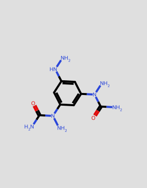 NNc1cc(N(N)C(N)=O)cc(N(N)C(N)=O)c1